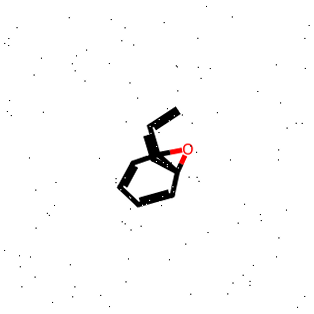 C=CC12C=CC=CC1(C=C)O2